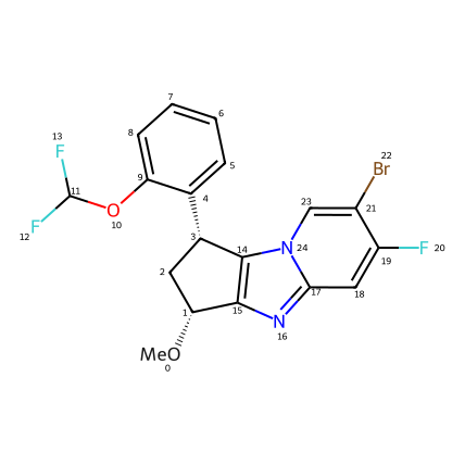 CO[C@@H]1C[C@H](c2ccccc2OC(F)F)c2c1nc1cc(F)c(Br)cn21